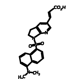 CN(C)c1cccc2c(S(=O)(=O)N3CCc4cc(/C=C/C(=O)O)cnc43)cccc12